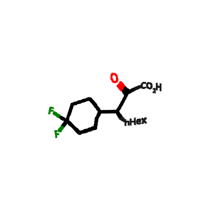 CCCCCCC(C(=O)C(=O)O)C1CCC(F)(F)CC1